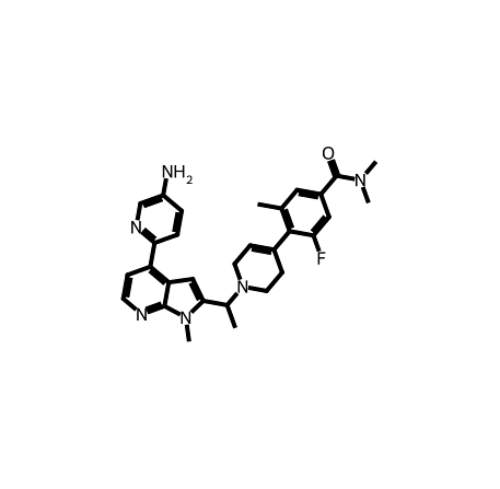 Cc1cc(C(=O)N(C)C)cc(F)c1C1=CCN(C(C)c2cc3c(-c4ccc(N)cn4)ccnc3n2C)CC1